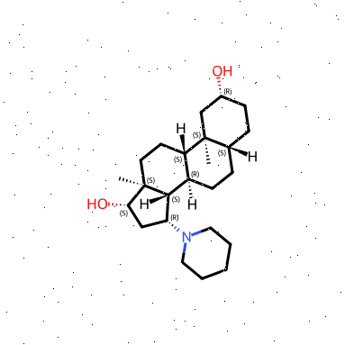 C[C@]12CC[C@H]3[C@@H](CC[C@H]4CC[C@@H](O)C[C@@]43C)[C@@H]1[C@H](N1CCCCC1)C[C@@H]2O